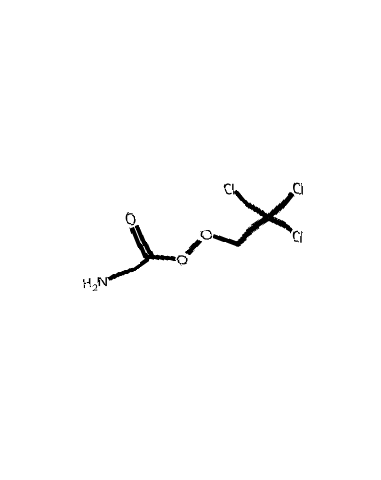 NC(=O)OOCC(Cl)(Cl)Cl